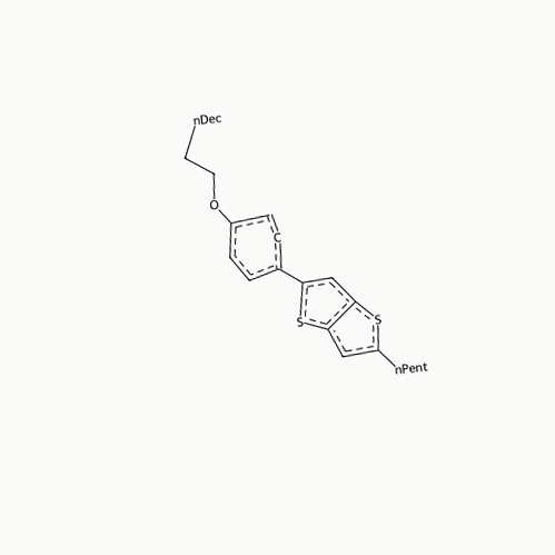 CCCCCCCCCCCCOc1ccc(-c2cc3sc(CCCCC)cc3s2)cc1